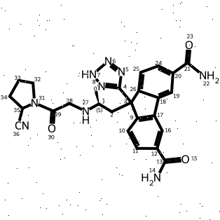 C[C@@H](CC1(c2nn[nH]n2)c2ccc(C(N)=O)cc2-c2cc(C(N)=O)ccc21)NCC(=O)N1CCCC1C#N